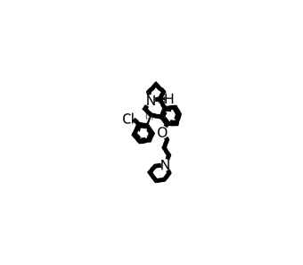 Clc1ccccc1[C@H]1CN2CCC[C@@H]2c2cccc(OCCCN3CCCCC3)c21